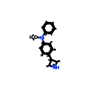 CN(c1ccccc1)c1ccc(C2CNC2)cc1